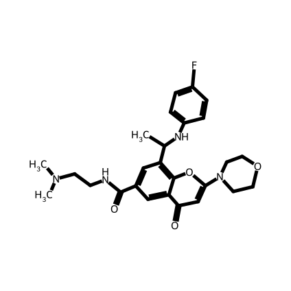 CC(Nc1ccc(F)cc1)c1cc(C(=O)NCCN(C)C)cc2c(=O)cc(N3CCOCC3)oc12